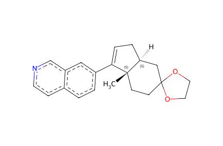 C[C@]12CCC3(C[C@@H]1CC=C2c1ccc2ccncc2c1)OCCO3